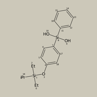 CC[Si](CC)(Oc1ccc([Si](O)(O)c2ccccc2)cc1)C(C)C